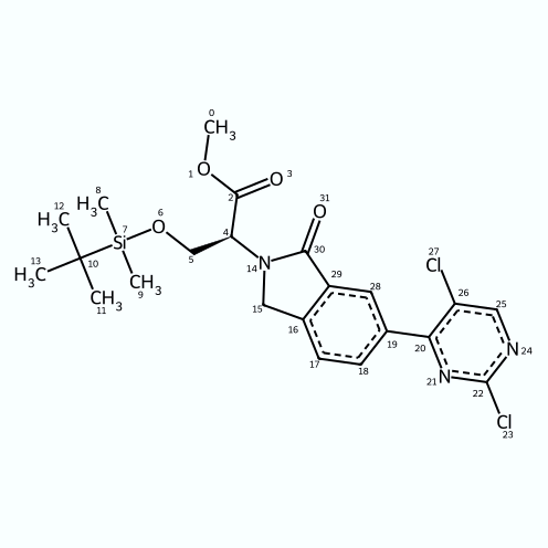 COC(=O)[C@H](CO[Si](C)(C)C(C)(C)C)N1Cc2ccc(-c3nc(Cl)ncc3Cl)cc2C1=O